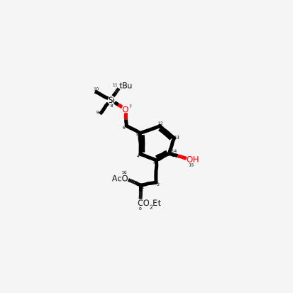 CCOC(=O)C(Cc1cc(CO[Si](C)(C)C(C)(C)C)ccc1O)OC(C)=O